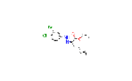 CCC/C(=N/Nc1ccc(Cl)c(Br)c1)C(=O)OC